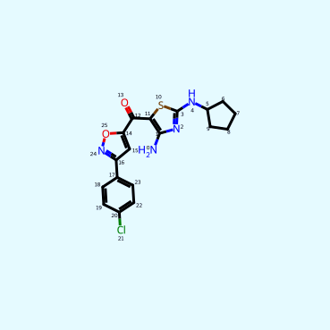 Nc1nc(NC2CCCC2)sc1C(=O)c1cc(-c2ccc(Cl)cc2)no1